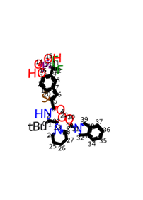 CC(C)(C)C(NC(=O)c1cc2cc(C(F)(F)P(=O)(O)O)ccc2s1)C(=O)N1CCCC[C@H]1C(=O)N1Cc2ccccc2C1